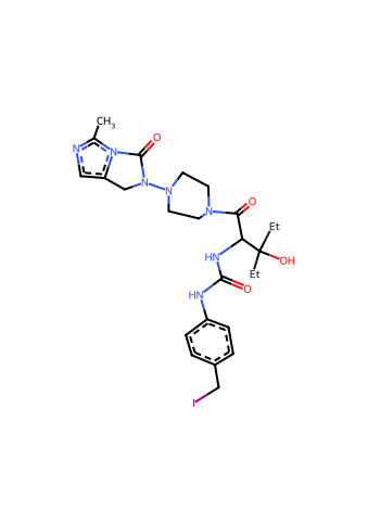 CCC(O)(CC)C(NC(=O)Nc1ccc(CI)cc1)C(=O)N1CCN(N2Cc3cnc(C)n3C2=O)CC1